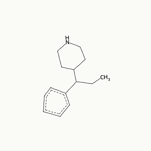 CCC(c1ccccc1)C1CCNCC1